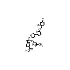 Cc1cc(Cn2c(CN3CCC(c4cccc(OCc5ccc(Cl)cc5F)n4)CC3)nc3ccc(C(=O)O)cc32)no1